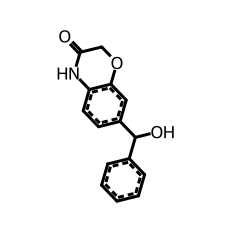 O=C1COc2cc(C(O)c3ccccc3)ccc2N1